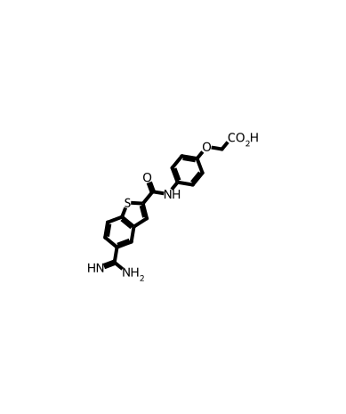 N=C(N)c1ccc2sc(C(=O)Nc3ccc(OCC(=O)O)cc3)cc2c1